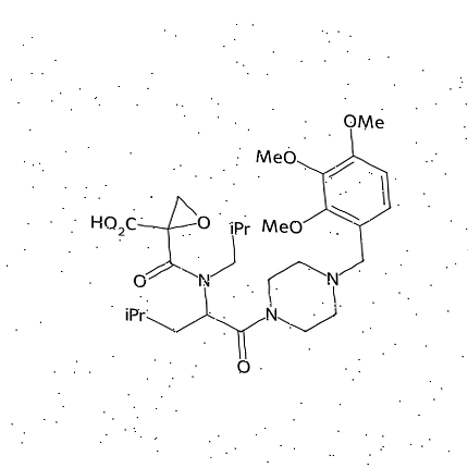 COc1ccc(CN2CCN(C(=O)C(CC(C)C)N(CC(C)C)C(=O)C3(C(=O)O)CO3)CC2)c(OC)c1OC